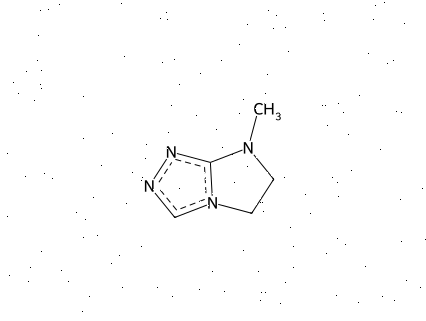 CN1CCn2cnnc21